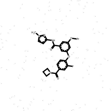 CC(C)Oc1cc(Oc2ccc(C(=O)N3CCC3)cc2F)cc(C(=O)Nc2ccn(C)n2)c1